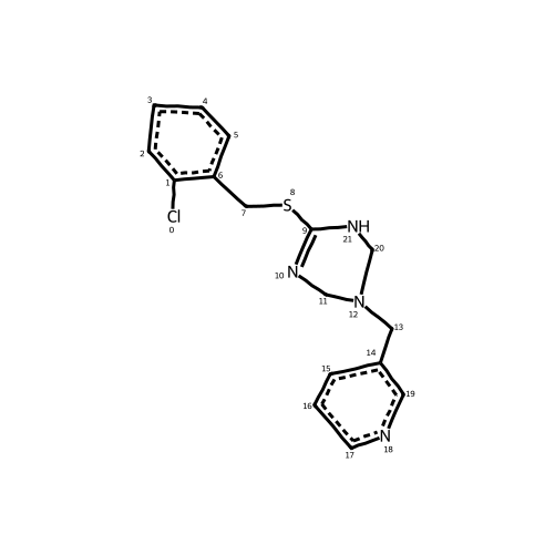 Clc1ccccc1CSC1=NCN(Cc2cccnc2)CN1